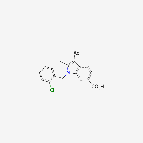 CC(=O)c1c(C)n(Cc2ccccc2Cl)c2cc(C(=O)O)ccc12